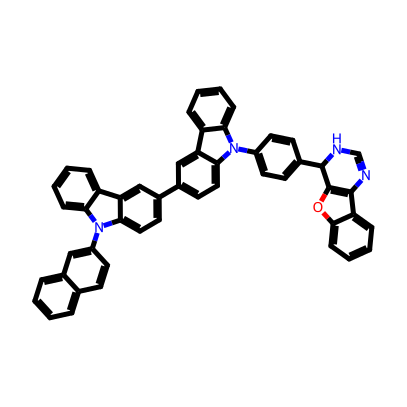 C1=Nc2c(oc3ccccc23)C(c2ccc(-n3c4ccccc4c4cc(-c5ccc6c(c5)c5ccccc5n6-c5ccc6ccccc6c5)ccc43)cc2)N1